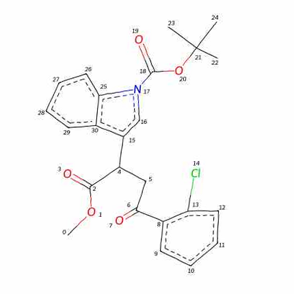 COC(=O)C(CC(=O)c1ccccc1Cl)c1cn(C(=O)OC(C)(C)C)c2ccccc12